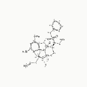 C=CCN1CC[C@]23c4c5c(OC(C)=O)cc(OC)c4O[C@H]2[C@@H](N(CC(C)C)S(=O)(=O)Cc2ccccc2)CC[C@H]3[C@H]1C5